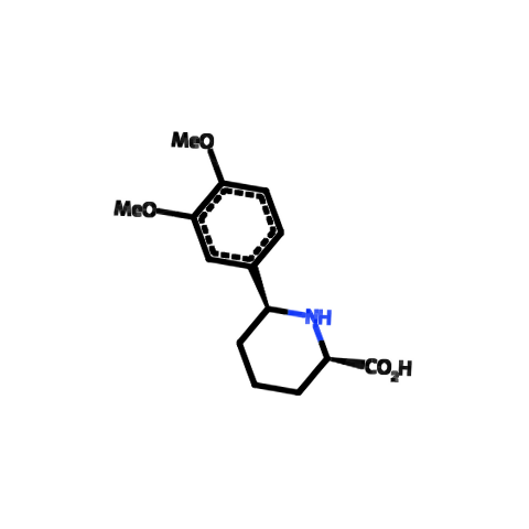 COc1ccc([C@@H]2CCC[C@H](C(=O)O)N2)cc1OC